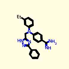 CCc1cccc(N(Cc2nc(-c3ccccc3)n[nH]2)c2ccc(C(=N)N)cc2)c1